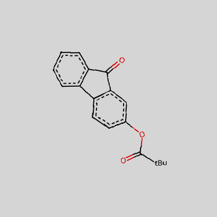 CC(C)(C)C(=O)Oc1ccc2c(c1)C(=O)c1ccccc1-2